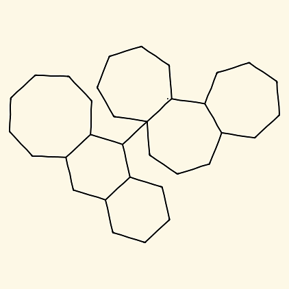 C1CCCC2C(CC1)CC1CCCCC1C2C12CCCCC[C]1C1CCCCCC1CCC2